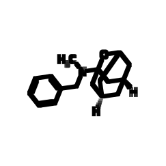 CN(Cc1ccccc1)C12C[C@@H]3CC(C[C@@H](C3)C1)O2